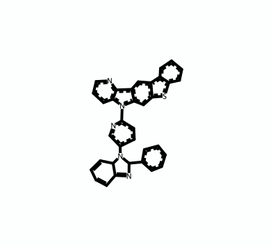 C1=CC2=NC(c3ccccc3)N(c3ccc(-n4c5cc6sc7ccccc7c6cc5c5ncccc54)nc3)C2C=C1